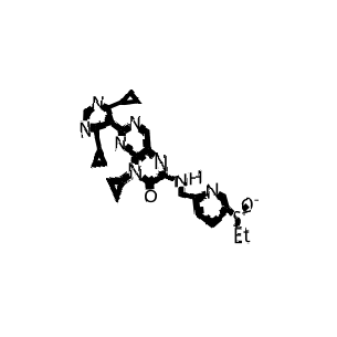 CC[S+]([O-])c1ccc(CNc2nc3cnc(-c4c(C5CC5)ncnc4C4CC4)nc3n(C3CC3)c2=O)nc1